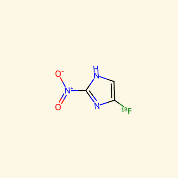 O=[N+]([O-])c1nc([18F])c[nH]1